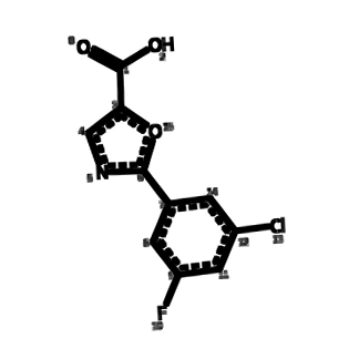 O=C(O)c1cnc(-c2cc(F)cc(Cl)c2)o1